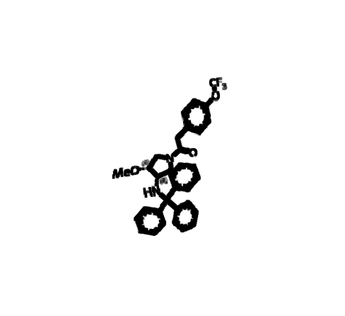 CO[C@@H]1CN(C(=O)Cc2ccc(OC(F)(F)F)cc2)C[C@H]1NC(c1ccccc1)(c1ccccc1)c1ccccc1